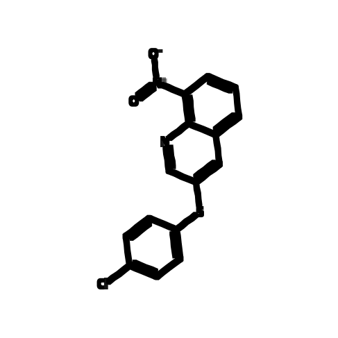 O=[N+]([O-])c1cccc2cc(Sc3ccc(Cl)cc3)cnc12